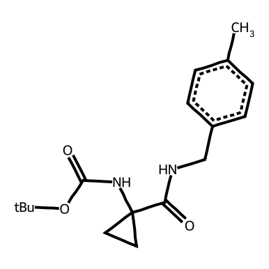 Cc1ccc(CNC(=O)C2(NC(=O)OC(C)(C)C)CC2)cc1